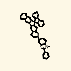 Cn1c(-c2ccccc2)nc2cc(-c3ccc4cc5c(cc4c3)C3(c4ccccc4-c4ccccc43)c3cc4ccccc4cc3-5)ccc21